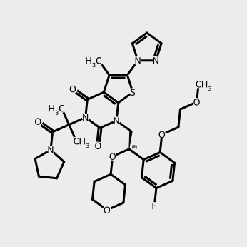 COCCOc1ccc(F)cc1[C@H](Cn1c(=O)n(C(C)(C)C(=O)N2CCCC2)c(=O)c2c(C)c(-n3cccn3)sc21)OC1CCOCC1